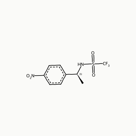 C[C@H](NS(=O)(=O)C(F)(F)F)c1ccc([N+](=O)[O-])cc1